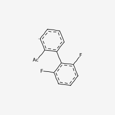 CC(=O)c1[c]cccc1-c1c(F)cccc1F